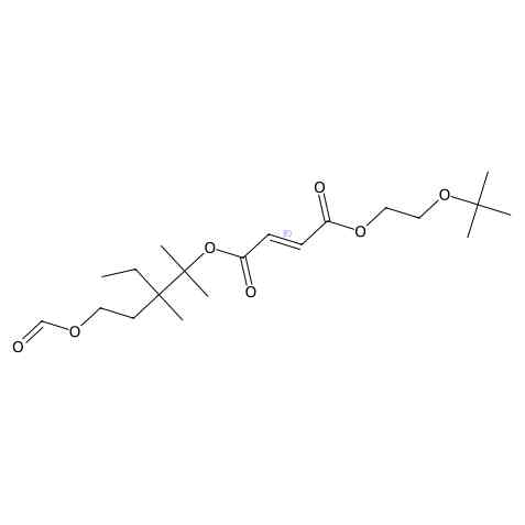 CCC(C)(CCOC=O)C(C)(C)OC(=O)/C=C/C(=O)OCCOC(C)(C)C